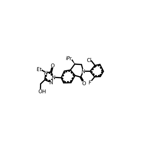 CCn1c(CO)nn(-c2ccc3c(c2)[C@@H](C(C)C)CN(c2c(F)cccc2Cl)C3=O)c1=O